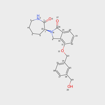 O=C1NCCCC[C@@H]1N1Cc2c(OCc3cccc(CO)c3)cccc2C1=O